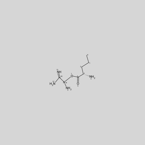 CCC[C@H](N)C(=O)ON(N)C(=N)N